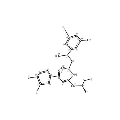 CC[C@@H](C)N/C(=N/C(=O)c1ccc(Cl)c(F)c1)NC(N)CC(N)c1cc(F)cc(F)c1